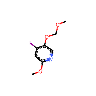 COCOc1cnc(OC)cc1I